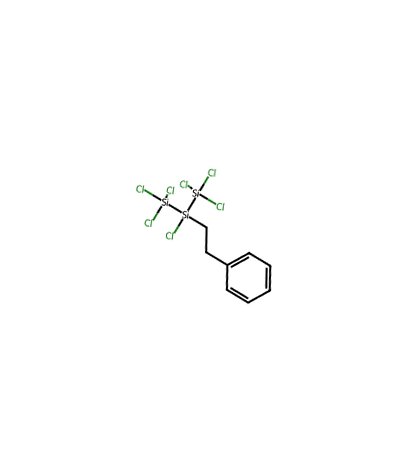 Cl[Si](Cl)(Cl)[Si](Cl)(CCc1ccccc1)[Si](Cl)(Cl)Cl